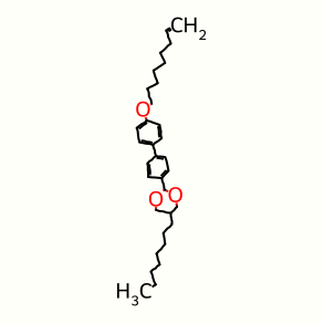 C=CCCCCCCCOc1ccc(-c2ccc(C3OCC(CCCCCCCC)CO3)cc2)cc1